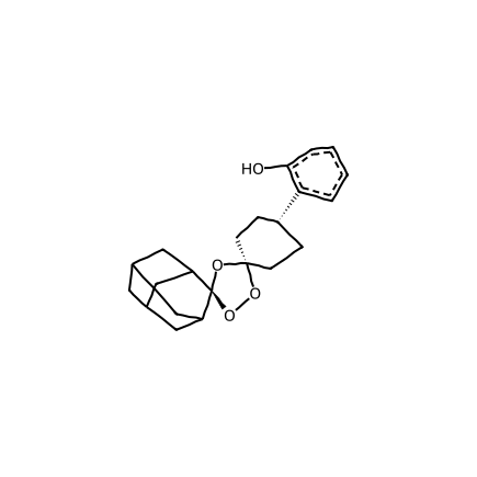 Oc1ccccc1[C@H]1CC[C@]2(CC1)OO[C@]1(O2)C2CC3CC(C2)CC1C3